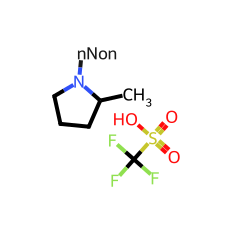 CCCCCCCCCN1CCCC1C.O=S(=O)(O)C(F)(F)F